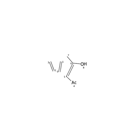 C=C.C=C.CC(=O)/C=C(/C)O